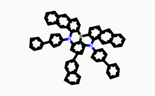 c1ccc(-c2ccc(N3c4cc(-c5ccc6ccccc6c5)cc5c4B(c4ccc6cc7ccccc7cc6c43)c3ccc4cc6ccccc6cc4c3N5c3ccc(-c4ccccc4)cc3)cc2)cc1